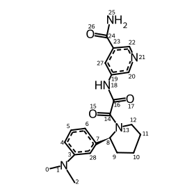 CN(C)c1cccc([C@@H]2CCCCN2C(=O)C(=O)Nc2cncc(C(N)=O)c2)c1